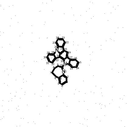 c1ccc2c(c1)CCCC/C(n1c3ccccc3c3cc4c5ccccc5n5c6ccccc6c(c31)c45)=N\2